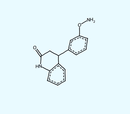 NOc1cccc(C2CC(=O)Nc3ccccc32)c1